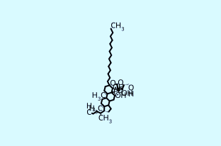 CCCCCCCCCCCCCCCCC1(OC2C[C@H](O)[C@@H](CO)O2)CC[C@]2(C)C3CC[C@@]4(C)C(CC[C@@H]4[C@H](C)CCC)C3CCC2(P(=O)(O)O)C1